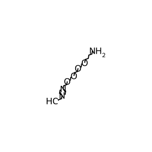 C#CCN1CCN(CCOCCOCCOCCOCCCCN)CC1